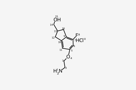 Cl.NCCOc1cc(F)c2c(c1)CC(CO)C2